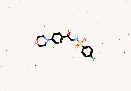 O=C(CNS(=O)(=O)c1ccc(Cl)cc1)c1ccc(N2CCOCC2)cc1